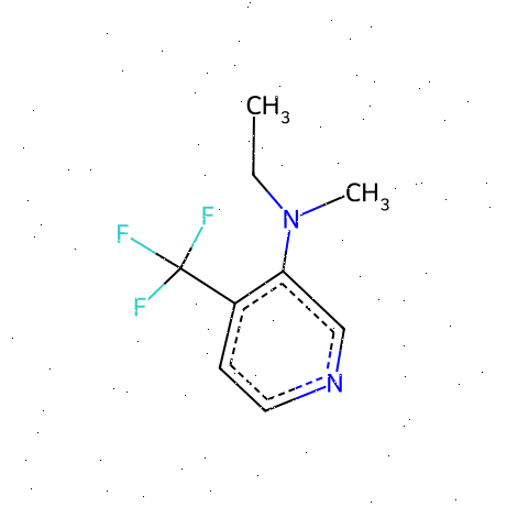 CCN(C)c1cnccc1C(F)(F)F